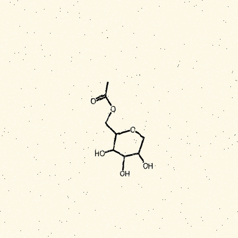 CC(=O)OCC1OCC(O)C(O)C1O